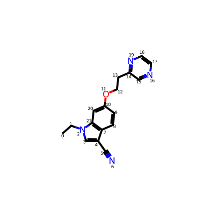 CCn1cc(C#N)c2ccc(OCCc3cnccn3)cc21